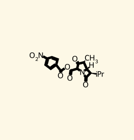 CC(C)[C@H]1C(=O)N2C(C(=O)OC(=O)c3ccc([N+](=O)[O-])cc3)C(=O)[C@H](C)[C@H]12